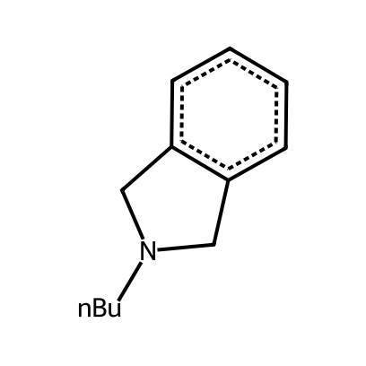 CCCCN1Cc2ccccc2C1